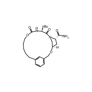 CCCC[C@@H]1NC(=O)OCCCCCc2cccc(c2)CO[C@@H]2C[C@@H](C(N)=O)N(C2)C1=O